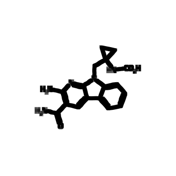 NC(=O)c1cc2c3ccccc3n(CC3(NC(=O)O)CC3)c2nc1N